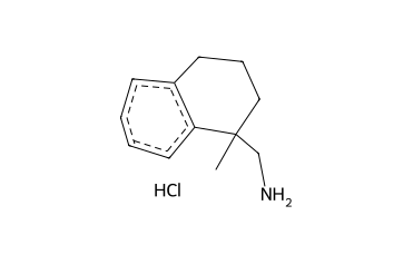 CC1(CN)CCCc2ccccc21.Cl